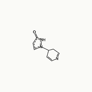 O=c1ccn(C2C=CN=CC2)[nH]1